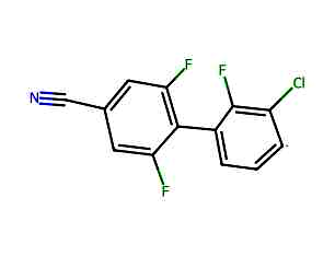 N#Cc1cc(F)c(-c2cc[c]c(Cl)c2F)c(F)c1